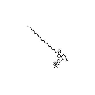 C=C1CCC(OC(=O)CCCCCCCC=CCC=CCCCCC)C1CO[Si](C)(C)C(C)(C)C